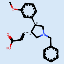 COc1cccc([C@H]2CN(Cc3ccccc3)C[C@@H]2/C=C/C(=O)O)c1